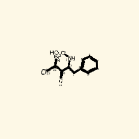 O=C(O)NC(Cc1ccccc1)C(=O)C(Cl)Br